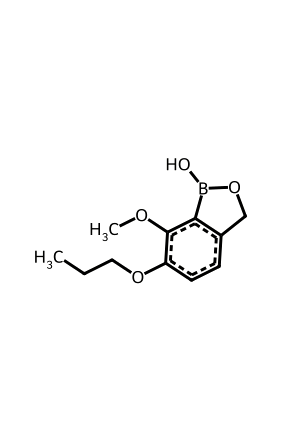 CCCOc1ccc2c(c1OC)B(O)OC2